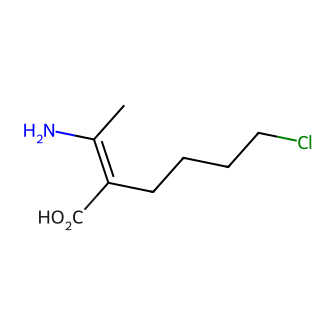 CC(N)=C(CCCCCl)C(=O)O